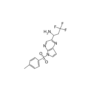 Cc1ccc(S(=O)(=O)n2ccc3nc(C(N)CC(F)(F)F)cnc32)cc1